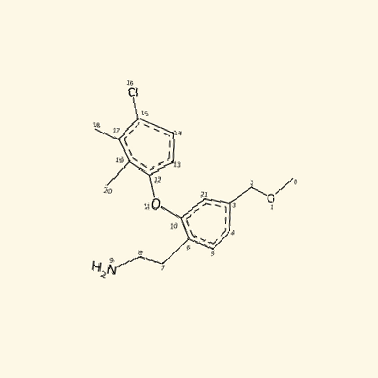 COCc1ccc(CCN)c(Oc2ccc(Cl)c(C)c2C)c1